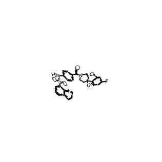 O=C(c1ccc(NS(=O)(=O)c2cccc3cccnc23)cc1)N1CCC(O)(c2ccc(F)cc2Cl)CC1